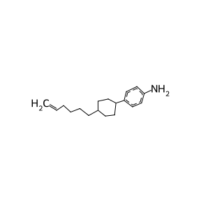 C=CCCCCC1CCC(c2ccc(N)cc2)CC1